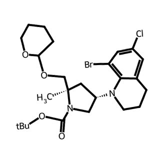 CC(C)(C)OC(=O)N1C[C@@H](N2CCCc3cc(Cl)cc(Br)c32)C[C@]1(C)COC1CCCCO1